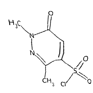 Cc1nn(C)c(=O)cc1S(=O)(=O)Cl